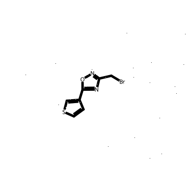 BrCc1noc(-c2ccsc2)n1